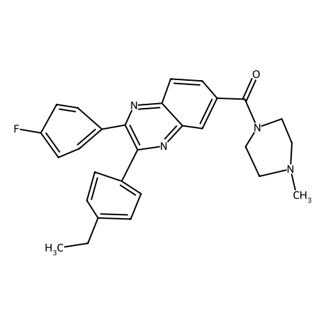 CCc1ccc(-c2nc3cc(C(=O)N4CCN(C)CC4)ccc3nc2-c2ccc(F)cc2)cc1